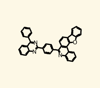 c1ccc(-c2nc(-c3ccc(-c4nc5ccccc5c5c4ccc4c6ccccc6oc45)cc3)nc3ccccc23)cc1